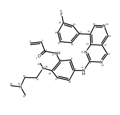 C=CC(=O)Nc1cc(Nc2ncc3cncc(-c4cccc(F)c4)c3n2)ccc1N(C)CCN(C)C